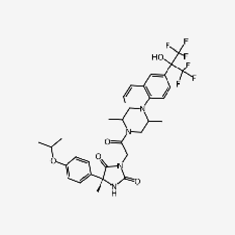 C/C=C\c1cc(C(O)(C(F)(F)F)C(F)(F)F)ccc1N1CC(C)N(C(=O)CN2C(=O)N[C@](C)(c3ccc(OC(C)C)cc3)C2=O)CC1C